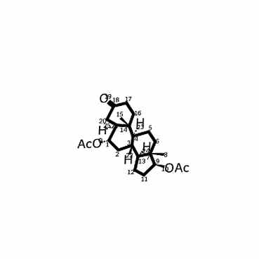 CC(=O)O[C@H]1C[C@@H]2[C@H](CC[C@]3(C)[C@@H](OC(C)=O)CC[C@@H]23)[C@@]2(C)CCC(=O)C[C@H]12